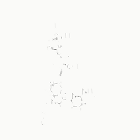 COCCn1cc(-c2ccnc(N)n2)c2cc(C#CC3(O)CN(C(=O)OC(C)(C)C)C3)ncc21